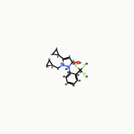 O=c1cc(C2CC2)n(CC2CC2)n1-c1ccccc1C(F)(F)F